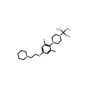 CC(C)(C)N1CCN(c2c(F)cc(OCCN3CCCCC3)cc2F)CC1